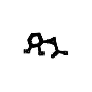 CCC(=O)C1CN1c1cccc(O)c1O